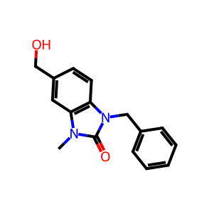 Cn1c(=O)n(Cc2ccccc2)c2ccc(CO)cc21